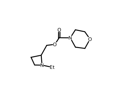 CCN1CCC1COC(=O)N1CCOCC1